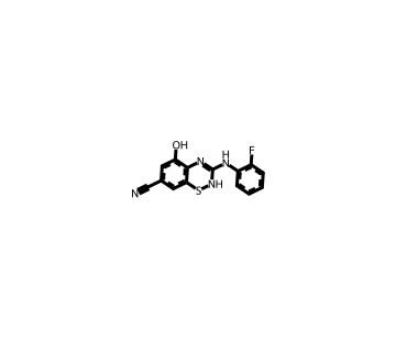 N#Cc1cc(O)c2c(c1)SNC(Nc1ccccc1F)=N2